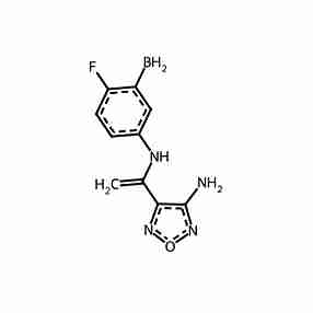 Bc1cc(NC(=C)c2nonc2N)ccc1F